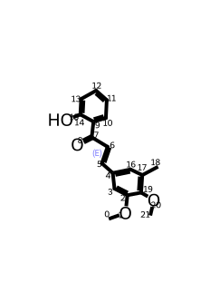 COc1cc(/C=C/C(=O)c2ccccc2O)cc(C)c1OC